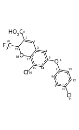 O=C(O)C1=Cc2cc(Oc3ccc(Cl)cc3)cc(Cl)c2OC1C(F)(F)F